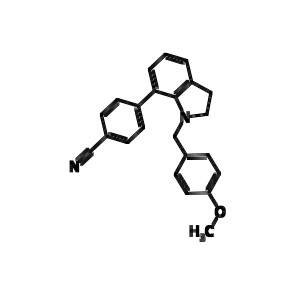 COc1ccc(CN2CCc3cccc(-c4ccc(C#N)cc4)c32)cc1